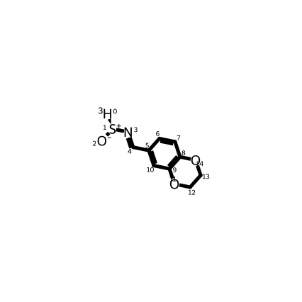 [3H][S@+]([O-])/N=C/c1ccc2c(c1)OCCO2